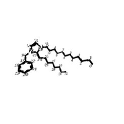 CCCCCCCCCCCCN1C=CN(Cc2ccccc2)C1CCCCCCCC